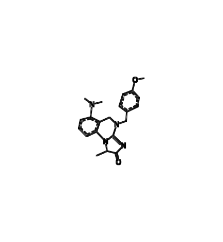 COc1ccc(CN2Cc3c(N(C)C)cccc3N3C2=NC(=O)C3C)cc1